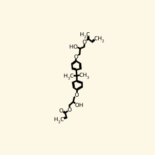 C=CC(=C)OCC(O)COc1ccc(C(C)(C)c2ccc(OCC(O)COC(=O)C=C)cc2)cc1